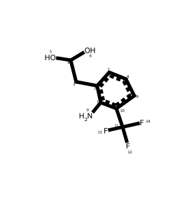 Nc1c(CC(O)O)cccc1C(F)(F)F